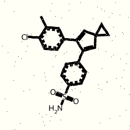 Cc1cc(C2=CC3(C=C2c2ccc(S(N)(=O)=O)cc2)CC3)ccc1Cl